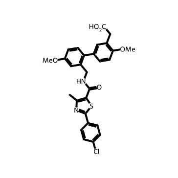 COc1ccc(-c2ccc(OC)c(CC(=O)O)c2)c(CNC(=O)c2sc(-c3ccc(Cl)cc3)nc2C)c1